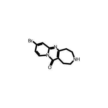 O=c1c2c(nc3cc(Br)ccn13)CCNCC2